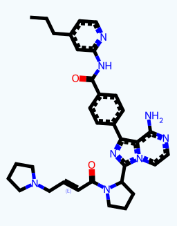 CCCc1ccnc(NC(=O)c2ccc(-c3nc(C4CCCN4C(=O)/C=C/CN4CCCC4)n4ccnc(N)c34)cc2)c1